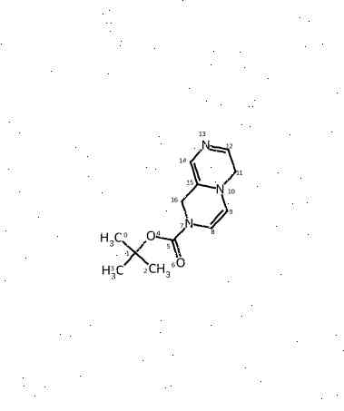 CC(C)(C)OC(=O)N1C=CN2CC=NC=C2C1